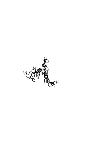 COC[C@H](C)NCc1ccc2c(c1)nc(NC(=O)c1ccc(-c3cnco3)s1)n2C[C@H]1CCCN1C(=O)/C(C#N)=C/C(C)(C)C.O=CO